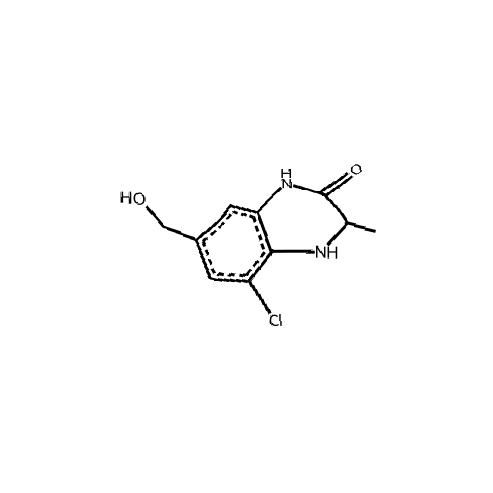 CC1Nc2c(Cl)cc(CO)cc2NC1=O